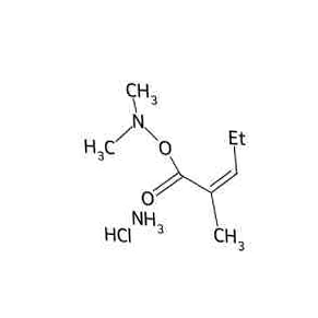 CCC=C(C)C(=O)ON(C)C.Cl.N